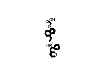 O=C(O)COc1cccc2c1CCC=C2CCONC(Cc1cccnc1)c1ccccc1